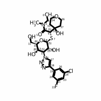 CCN(C)C(=O)[C@@H](S[C@@H]1O[C@H](CO)[C@H](O)[C@H](n2cc(-c3cc(F)cc(Cl)c3)nn2)[C@H]1O)C1(O)CCOCC1